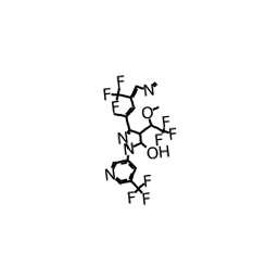 C=N/C=C(\C=C(/C)C1=NN(c2cncc(C(F)(F)F)c2)C(O)C1C(OC)C(F)(F)F)C(F)(F)F